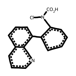 O=C(O)N(Cl)c1ccccc1-c1cccc2cccnc12